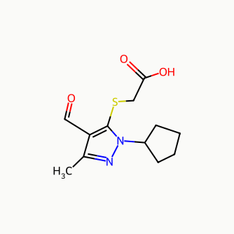 Cc1nn(C2CCCC2)c(SCC(=O)O)c1C=O